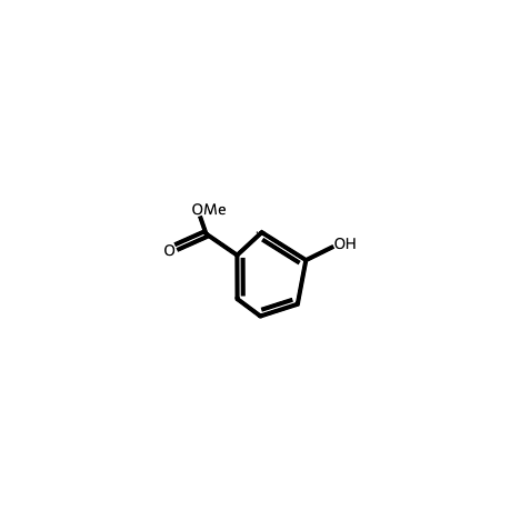 COC(=O)c1[c]c(O)ccc1